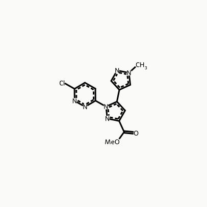 COC(=O)c1cc(-c2cnn(C)c2)n(-c2ccc(Cl)nn2)n1